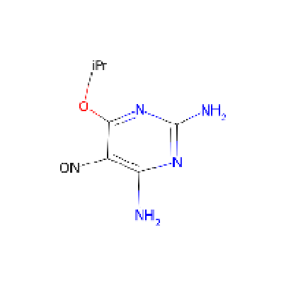 CC(C)Oc1nc(N)nc(N)c1N=O